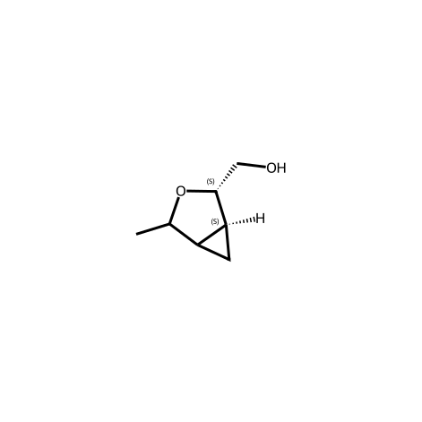 CC1O[C@H](CO)[C@H]2CC12